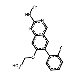 CC(C)Nc1ncc2cc(-c3ccccc3Cl)c(OCC(=O)O)cc2n1